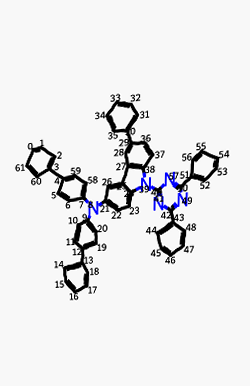 c1ccc(-c2ccc(N(c3ccc(-c4ccccc4)cc3)c3ccc4c(c3)c3cc(-c5ccccc5)ccc3n4-c3nc(-c4ccccc4)nc(-c4ccccc4)n3)cc2)cc1